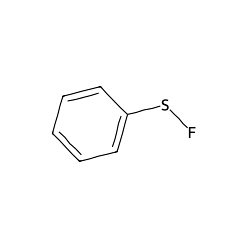 FSc1ccccc1